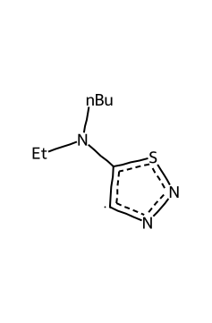 CCCCN(CC)c1[c]nns1